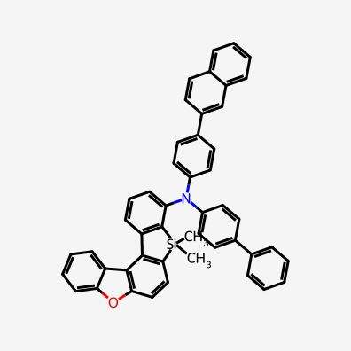 C[Si]1(C)c2ccc3oc4ccccc4c3c2-c2cccc(N(c3ccc(-c4ccccc4)cc3)c3ccc(-c4ccc5ccccc5c4)cc3)c21